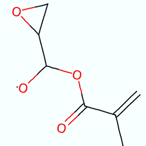 C=C(C)C(=O)OC([O])C1CO1